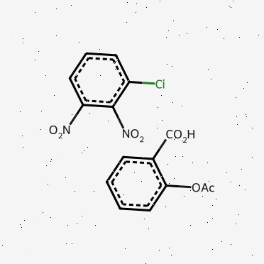 CC(=O)Oc1ccccc1C(=O)O.O=[N+]([O-])c1cccc(Cl)c1[N+](=O)[O-]